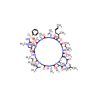 C/C=C/C[C@@H](C)[C@H]1ON2C(=O)[C@H](C(C)C)N(C)C(=O)[C@@H]3CC(C)N(C(=O)[C@H](C)NC(=O)[C@H](CC(C)C)N(C)C(=O)[C@H](C(C)C)NC(=O)[C@H](C(C)(C)CN(C)C(=O)NS(=O)(=O)c4ccccc4)N(C)C(=O)[C@@H](C)N(C)C(=O)[C@H](CC)NC(=O)[C@H]12)[C@H](C)C(=O)N(C)[C@@H](CC(C)C)C(=O)N3C